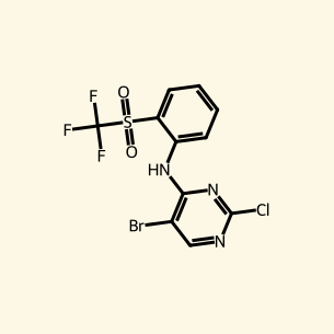 O=S(=O)(c1ccccc1Nc1nc(Cl)ncc1Br)C(F)(F)F